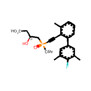 COP(=O)(C#Cc1c(C)cccc1-c1cc(C)c(F)c(C)c1)C[C@@H](O)CC(=O)O